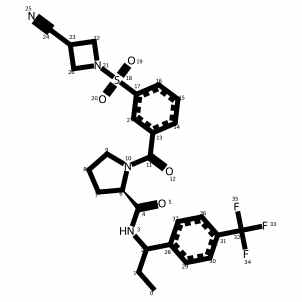 CCC(NC(=O)[C@H]1CCCN1C(=O)c1cccc(S(=O)(=O)N2CC(C#N)C2)c1)c1ccc(C(F)(F)F)cc1